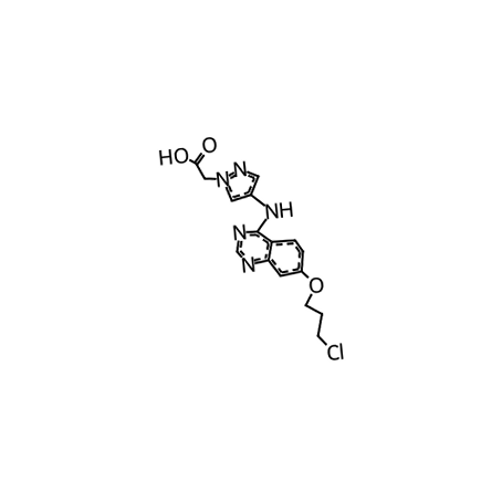 O=C(O)Cn1cc(Nc2ncnc3cc(OCCCCl)ccc23)cn1